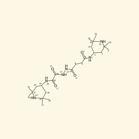 CC1(C)CC(NC(=O)CCC(=O)NNC(=O)C(=O)NC2CC(C)(C)NC(C)(C)C2)CC(C)(C)N1